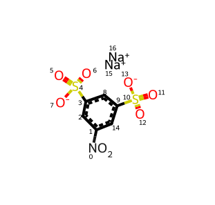 O=[N+]([O-])c1cc(S(=O)(=O)[O-])cc(S(=O)(=O)[O-])c1.[Na+].[Na+]